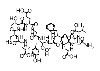 CC(C)[C@H](NC(=O)[C@H](CC(N)=O)NC(=O)[C@H](CCC(=O)O)NC(=O)[C@H](Cc1ccccc1)NC(=O)[C@H](CO)NC(=O)[C@H](Cc1ccc(O)cc1)NC(=O)CNC(=O)[C@H](CCC(=O)O)NC(=O)[C@@H](NC(=O)[C@H](CS)NC(=O)[C@@H](N)CCC(=O)O)[C@@H](C)O)C(=O)O